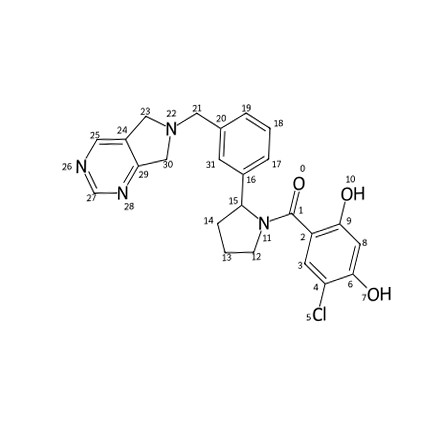 O=C(c1cc(Cl)c(O)cc1O)N1CCCC1c1cccc(CN2Cc3cncnc3C2)c1